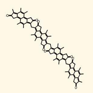 CC1=c2c(C)c(C)c3c4c(c(C)c(C)c3c2CC1=O)=C(CC1=c2c(C)c(C)c3c5c(c(C)c(C)c3c2CC1=O)=C(CC1=c2c(C)c(C)c3c6c(c(C)c(C)c3c2CC1=O)=C(CC1=c2c(C)c(C)c3c7c(c(C)c(C)c3c2CC1=O)=C(C)C(=O)C7)C(=O)C6)C(=O)C5)C(=O)C4